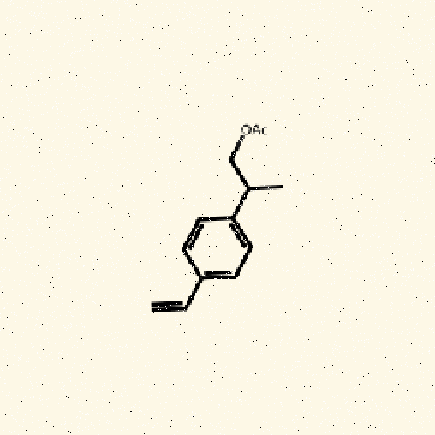 C=Cc1ccc(C(C)COC(C)=O)cc1